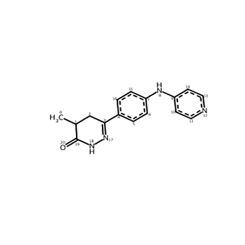 CC1CC(c2ccc(Nc3ccncc3)cc2)=NNC1=O